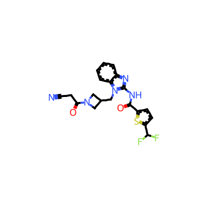 N#CCC(=O)N1CC(Cn2c(NC(=O)c3ccc(C(F)F)s3)nc3ccccc32)C1